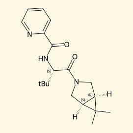 CC(C)(C)[C@H](NC(=O)c1ccccn1)C(=O)N1C[C@@H]2[C@H](C1)C2(C)C